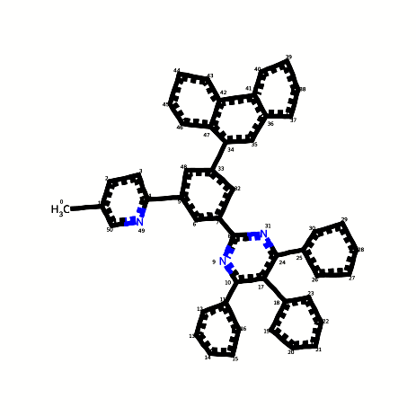 Cc1ccc(-c2cc(-c3nc(-c4ccccc4)c(-c4ccccc4)c(-c4ccccc4)n3)cc(-c3cc4ccccc4c4ccccc34)c2)nc1